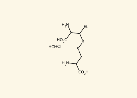 CCC(SSCC(N)C(=O)O)C(N)C(=O)O.Cl.Cl